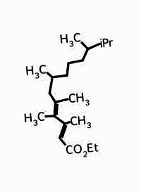 CCOC(=O)/C=C(C)/C(C)=C(\C)CC(C)CCCC(C)C(C)C